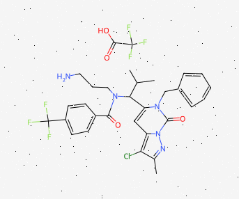 Cc1nn2c(=O)n(Cc3ccccc3)c(C(C(C)C)N(CCCN)C(=O)c3ccc(C(F)(F)F)cc3)cc2c1Cl.O=C(O)C(F)(F)F